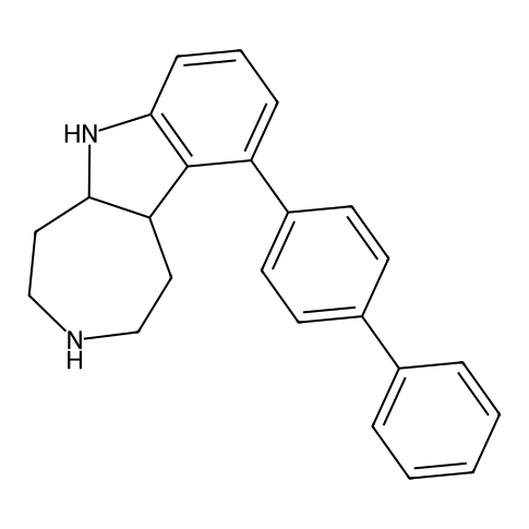 c1ccc(-c2ccc(-c3cccc4c3C3CCNCCC3N4)cc2)cc1